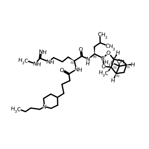 CCCCN1CCC(CCCC(=O)N[C@@H](CCCNC(=N)NC)C(=O)N[C@@H](CC(C)C)B2O[C@@H]3C[C@@H]4C[C@@H](C4(C)C)[C@]3(C)O2)CC1